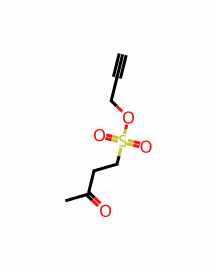 C#CCOS(=O)(=O)CCC(C)=O